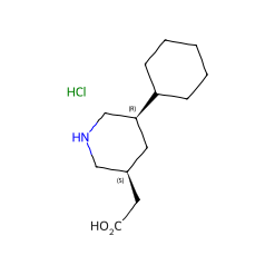 Cl.O=C(O)C[C@H]1CNC[C@@H](C2CCCCC2)C1